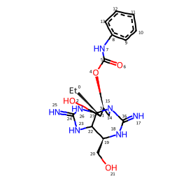 CC[C@]1(O)[C@@H](OC(=O)Nc2ccccc2)CN2C(=N)N[C@@H](CO)C3NC(=N)NC321